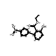 CCOC(=O)c1c(O)cccc1-c1ccc([N+](=O)[O-])cc1